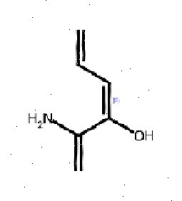 C=C/C=C(/O)C(=C)N